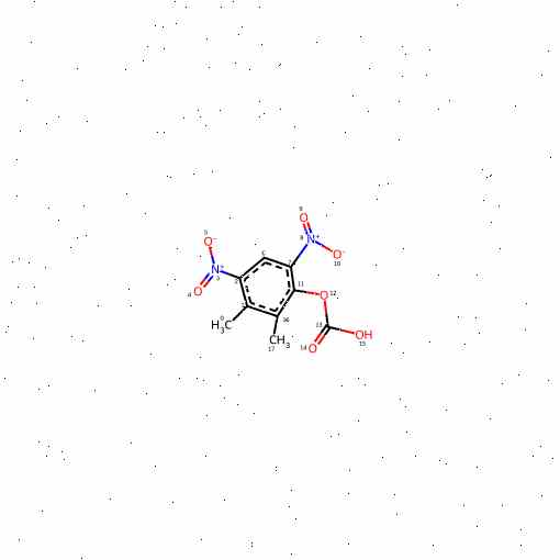 Cc1c([N+](=O)[O-])cc([N+](=O)[O-])c(OC(=O)O)c1C